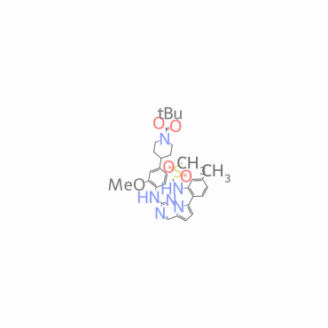 COc1cc(C2CCN(C(=O)OC(C)(C)C)CC2)ccc1Nc1ncc2ccc(-c3ccc(C)cc3NCS(C)(=O)=O)n2n1